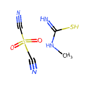 CNC(=N)S.N#CS(=O)(=O)C#N